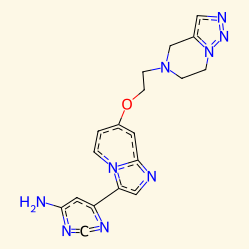 Nc1cc(-c2cnc3cc(OCCN4CCn5nncc5C4)ccn23)ncn1